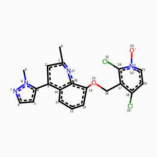 Cc1cc(-c2ccnn2C)c2cccc(OCc3c(Cl)cc[n+]([O-])c3Cl)c2n1